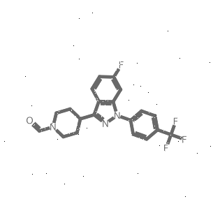 O=CN1CCC(c2nn(-c3ccc(C(F)(F)F)cc3)c3cc(F)ccc23)CC1